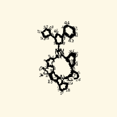 CS1(C)c2ccc3cc2-c2cc4c(cc21)c1ccccc1n4-c1cccc(c1)-c1cccc(c1)-c1nc(-c2cc(-c4ccccc4)cc(-c4ccccc4)c2)nc-3n1